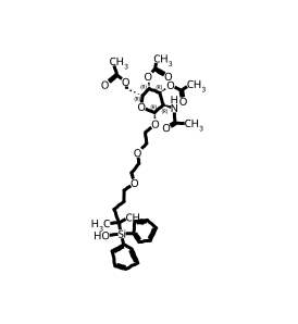 CC(=O)N[C@H]1[C@H](OCCOCCOCCCC(C)(C)[Si](O)(c2ccccc2)c2ccccc2)O[C@H](COC(C)=O)[C@H](OC(C)=O)[C@@H]1OC(C)=O